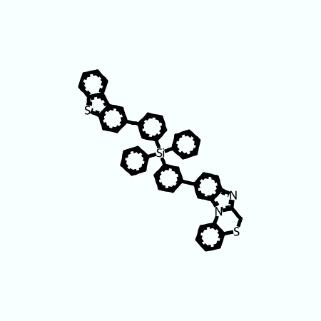 c1ccc([Si](c2ccccc2)(c2cccc(-c3ccc4sc5ccccc5c4c3)c2)c2cccc(-c3ccc4nc5n(c4c3)-c3ccccc3SC5)c2)cc1